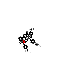 COc1ccc(CN(Cc2ccc(OC)cc2)S(=O)(=O)c2c(C(F)(F)F)ccc(-c3cccc4c3ccc[n+]4[O-])c2-c2nnn(Cc3ccc(OC)cc3)n2)cc1